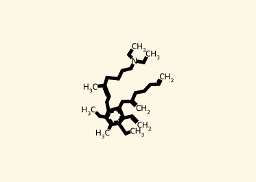 C=CCCCC(=C)Cc1c(C=C)c(CC)c(C)c(CC)c1C/C=C(\C)CCCCN(CC)CC